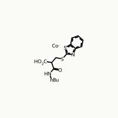 CCCCNC(=O)C(CSc1nc2ccccc2s1)C(=O)O.[Co]